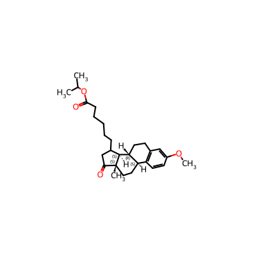 COc1ccc2c(c1)CC[C@@H]1[C@@H]2CC[C@]2(C)C(=O)CC(CCCCCC(=O)OC(C)C)[C@@H]12